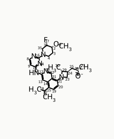 CO[C@@H]1CCN(c2nccc(Nc3cc4c(C(C)C)ccc(N5C[C@H](C[S@+](C)[O-])[C@H]5C)c4cn3)n2)C[C@@H]1F